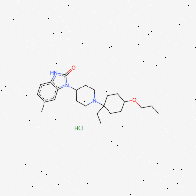 CCCOC1CCC(CC)(N2CCC(n3c(=O)[nH]c4ccc(C)cc43)CC2)CC1.Cl